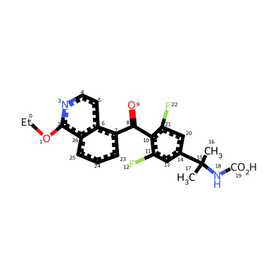 CCOc1nccc2c(C(=O)c3c(F)cc(C(C)(C)NC(=O)O)cc3F)cccc12